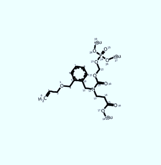 C=CCOCc1ccccc1CN(CCC(=O)OC(C)(C)C)C(=O)OCOP(=O)(OC(C)(C)C)OC(C)(C)C